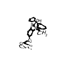 CCn1c(C(O)(c2ccccc2)c2ccccc2)nc2ccc(OCC(=O)OC)cc21